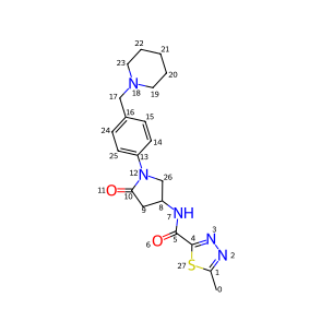 Cc1nnc(C(=O)NC2CC(=O)N(c3ccc(CN4CCCCC4)cc3)C2)s1